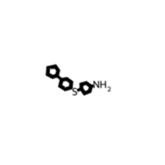 Nc1ccc(Sc2ccc(-c3ccccc3)cc2)cc1